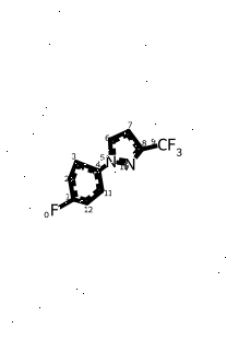 Fc1ccc(-n2[c]cc(C(F)(F)F)n2)cc1